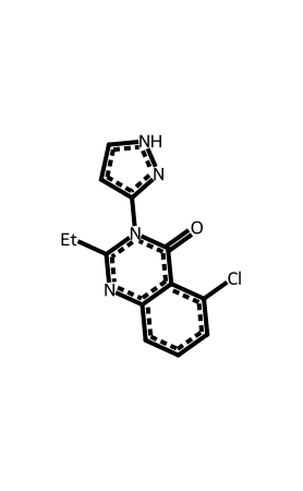 CCc1nc2cccc(Cl)c2c(=O)n1-c1cc[nH]n1